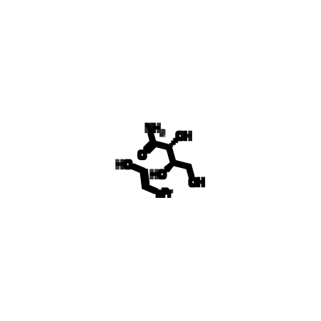 CCCC=CO.NC(=O)[C@H](O)[C@H](O)CO